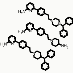 Nc1cccc(-c2ccc(CCN3CCC(C(c4ccccc4)c4ccccc4)CC3)cc2)n1.Nc1cccc(-c2ccc(CCN3CCC(N)CC3)cc2)n1.Nc1cccc(-c2ccc(CCN3CCN(C(c4ccccc4)c4ccccc4)CC3)cc2)n1